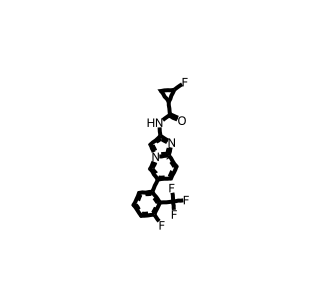 O=C(Nc1cn2cc(-c3cccc(F)c3C(F)(F)F)ccc2n1)C1CC1F